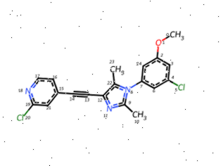 COc1cc(Cl)cc(-n2c(C)nc(C#Cc3ccnc(Cl)c3)c2C)c1